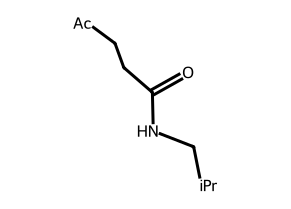 CC(=O)CCC(=O)NCC(C)C